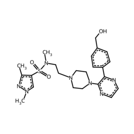 Cc1nn(C)cc1S(=O)(=O)N(C)CCN1CCN(c2nccnc2-c2ccc(CO)cc2)CC1